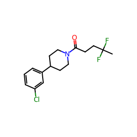 CC(F)(F)CCC(=O)N1CCC(c2cccc(Cl)c2)CC1